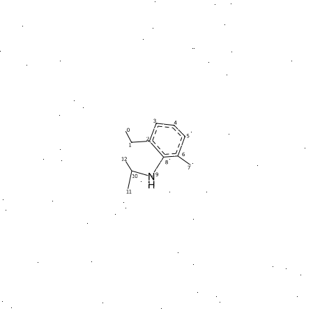 CCc1cccc(C)c1NC(C)C